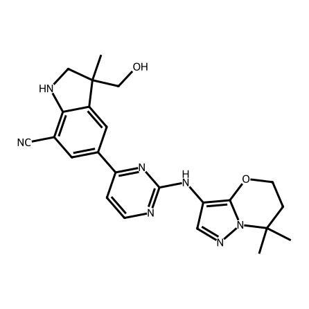 CC1(CO)CNc2c(C#N)cc(-c3ccnc(Nc4cnn5c4OCCC5(C)C)n3)cc21